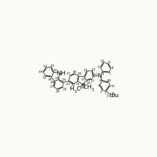 CC(C)(C)c1ccc(N(c2ccccc2)c2ccc3c(c2)C(C)(C)c2cc(-c4cccc5c4[nH]c4ccccc45)ccc2-3)cc1